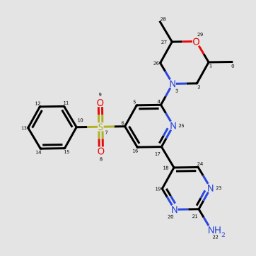 CC1CN(c2cc(S(=O)(=O)c3ccccc3)cc(-c3cnc(N)nc3)n2)CC(C)O1